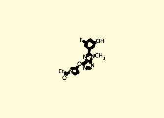 CCC(=O)N1CCC(Oc2ncnc3c2nc(-c2cc(O)cc(F)c2)n3C)C1